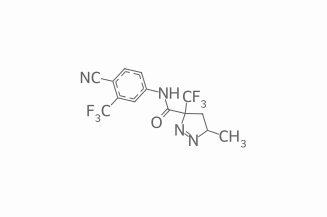 CC1CC(C(=O)Nc2ccc(C#N)c(C(F)(F)F)c2)(C(F)(F)F)N=N1